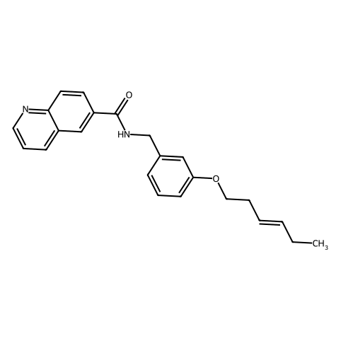 CC/C=C/CCOc1cccc(CNC(=O)c2ccc3ncccc3c2)c1